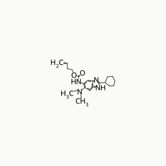 C=CCCOC(=O)Nc1cc2nc(C3CCCCC3)[nH]c2cc1N(CC)CC